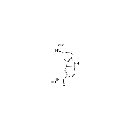 CCCNC1CCc2[nH]c3ccc(C(=O)NO)cc3c2C1